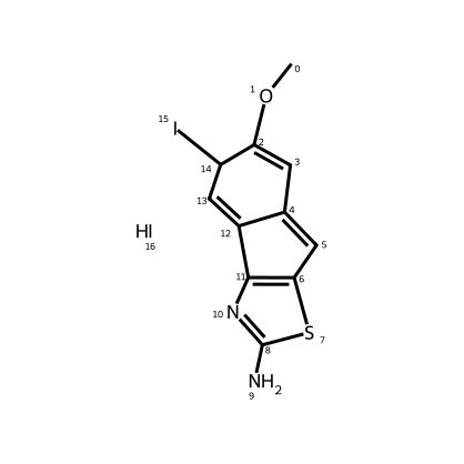 COC1=CC2=Cc3sc(N)nc3C2=CC1I.I